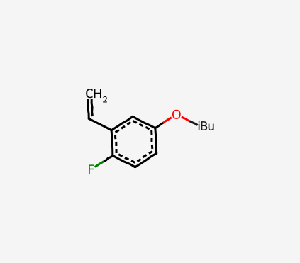 C=Cc1cc(OC(C)CC)ccc1F